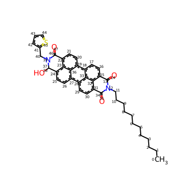 CCCCCCCCCCCCN1C(=O)c2ccc3c4ccc5c6c(ccc(c7ccc(c2c37)C1=O)c64)C(O)N(Cc1cccs1)C5=O